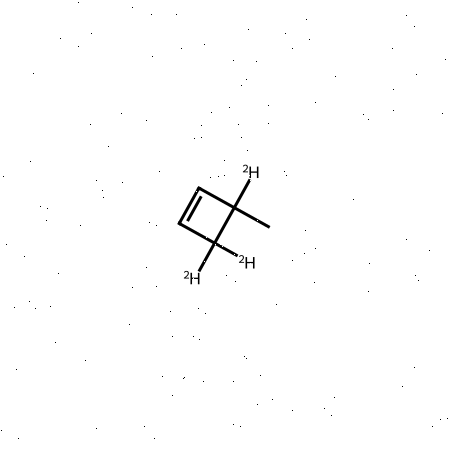 [2H]C1([2H])C=CC1([2H])C